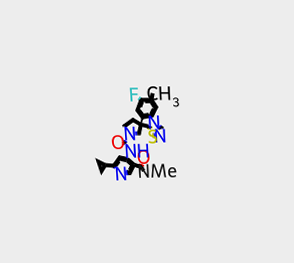 CNC(=O)c1cnc(C2CC2)cc1NC(=O)N1CC[C@](c2ccc(C)c(F)c2)(c2ncns2)C1